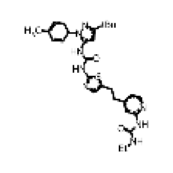 CCNC(=O)Nc1cc(CCc2cnc(NC(=O)Nc3cc(C(C)(C)C)nn3C3C=CC(C)=CC3)s2)ccn1